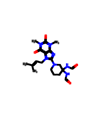 CC(C)=CCn1c(N2CCCC(NC=O)(NC=O)C2)nc2c1c(=O)n(C)c(=O)n2C